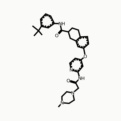 CN1CCN(CC(=O)Nc2cc(Oc3ccc4c(c3)CC(C(=O)Nc3cccc(C(C)(C)C)c3)CC4)ccn2)CC1